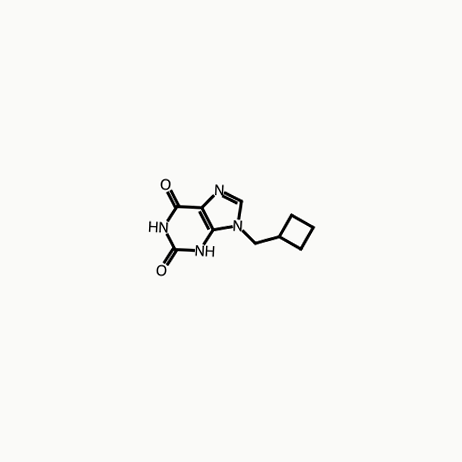 O=c1[nH]c(=O)c2ncn(CC3CCC3)c2[nH]1